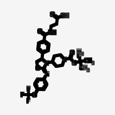 CC(C)(C)OC(=O)N1CCC(N2C(=Nc3ccc(OC(F)(F)F)cc3)OCC2c2ccc(C(=O)NCCC(=O)O)cc2)CC1